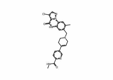 CNC(=O)c1ccc(C2=CCN(Cc3cc4[nH]c(=O)c5c(Cl)cnn5c4cc3C)CC2)cn1